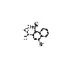 COC(=O)c1cc(Br)c2ccccc2c1[N+](=O)[O-]